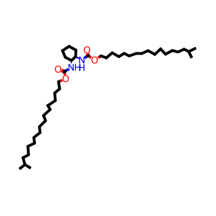 CC(C)CCCCCCCCCCCCCCCOC(=O)N[C@@H]1CCCC[C@H]1NC(=O)OCCCCCCCCCCCCCCCC(C)C